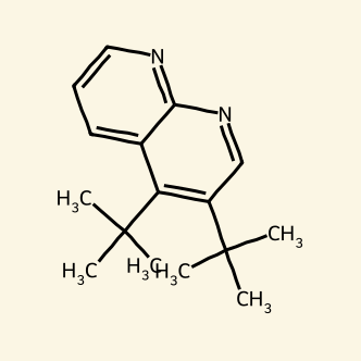 CC(C)(C)c1cnc2ncccc2c1C(C)(C)C